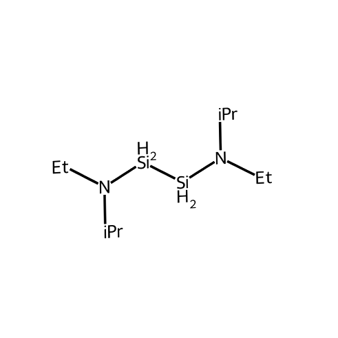 CCN([SiH2][SiH2]N(CC)C(C)C)C(C)C